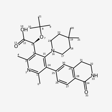 Cc1nc(C)c([C@H](OC(C)(C)C)C(=O)O)c(N2CCC(C)(C)CC2)c1-c1ccc2c(c1)CCNC2=O